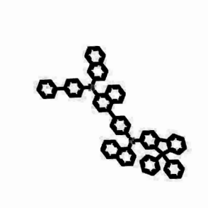 c1ccc(-c2ccc(N(c3ccc4ccccc4c3)c3ccc(-c4ccc(N(c5ccc6c(c5)C(c5ccccc5)(c5ccccc5)c5ccccc5-6)c5cccc6ccccc56)cc4)c4ccccc34)cc2)cc1